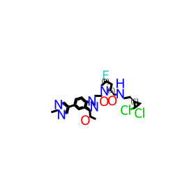 CC(=O)c1nn(CC(=O)N2C[C@H](F)C[C@H]2C(=O)NCC[C@H]2CC2(Cl)Cl)c2ccc(-c3cnc(C)nc3)cc12